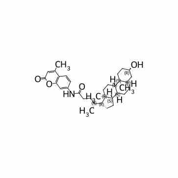 Cc1cc(=O)oc2cc(NC(=O)CC[C@@H](C)[C@H]3CC[C@H]4[C@@H]5CC[C@@H]6C[C@H](O)CC[C@]6(C)[C@H]5CC[C@]34C)ccc12